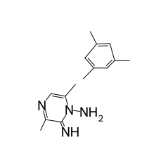 Cc1cc(C)cc(C)c1.Cc1ncc(C)n(N)c1=N